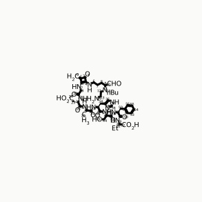 C=C1C(=O)C(NCCCC(C=O)N(CCN)CCCC)=C1NCC(=O)N[C@@H](CC(=O)O)C(=O)NC(C)C(=O)N[C@@H](Cc1c[nH]cn1)C(=O)NC(CO)C(=O)N[C@@H](Cc1ccccc1)C(=O)N[C@@H](CC)C(=O)O